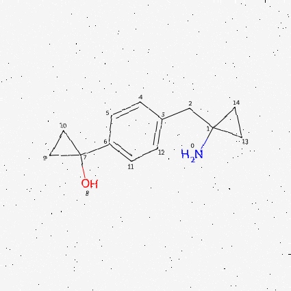 NC1(Cc2ccc(C3(O)CC3)cc2)CC1